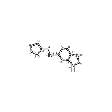 c1csc(CNc2ccc3nc[nH]c3c2)c1